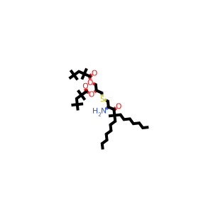 CCCCCCCC(C)(CCCCCCC)C(=O)C(N)CSCC(COC(=O)C(C)(C)CC(C)(C)C)OC(=O)C(C)(C)CC(C)(C)C